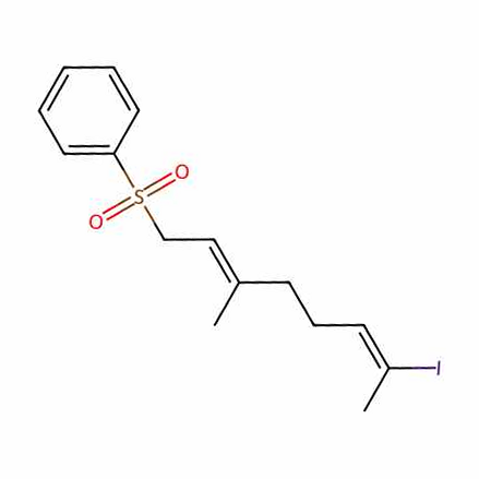 C/C(I)=C\CC/C(C)=C/CS(=O)(=O)c1ccccc1